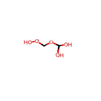 OOCOC(O)O